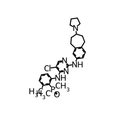 Cc1cccc(Nc2nc(Nc3ccc4c(c3)CCC(N3CCCC3)CC4)ncc2Cl)c1P(C)(C)=O